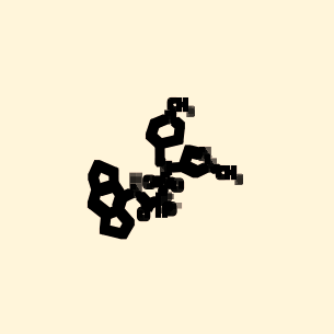 CN1CCC(CN(c2cnn(C)c2)S(=O)(=O)[NH+]([O-])C(=O)Nc2c3c(cc4c2CCC4)CCC3)CC1